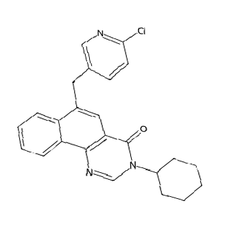 O=c1c2cc(Cc3ccc(Cl)nc3)c3ccccc3c2ncn1C1CCCCC1